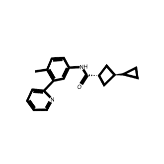 Cc1ccc(NC(=O)[C@H]2C[C@H](C3CC3)C2)cc1-c1ccccn1